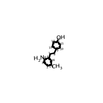 Cc1ccc(N)c(CCc2ccc(O)cc2)c1